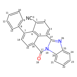 N#Cc1ccc2c3c1c(-c1ccccc1)ccc3c(=O)n1c3ccccc3nc21